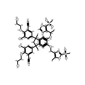 Cc1oc(S(C)(=O)=O)nc1COc1ccc(C(C)(CC(C)(c2ccc(OC(C)c3ncoc3S(C)(=O)=O)cc2)c2cc(Cl)c(OCCCl)c(C#N)c2)c2cc(Cl)c(OCCCl)c(C#N)c2)cc1